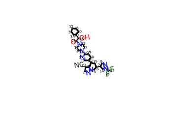 N#Cc1cnn2cc(-c3cnn(C(F)F)c3)cc(-c3ccc(N4CCN(C(=O)C(O)c5ccccc5)CC4)nc3)c12